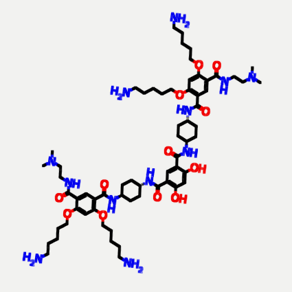 CN(C)CCNC(=O)c1cc(C(=O)N[C@H]2CC[C@H](NC(=O)c3cc(C(=O)N[C@H]4CC[C@H](NC(=O)c5cc(C(=O)NCCN(C)C)c(OCCCCCN)cc5OCCCCCN)CC4)c(O)cc3O)CC2)c(OCCCCCN)cc1OCCCCCN